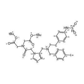 CC(C)(C)OC(=O)CN(CC(=O)OC(C)(C)C)C(=O)Cn1ccnc1CN(CCc1ccc(N[SH](=O)=O)cc1)Cc1ccc(I)cc1